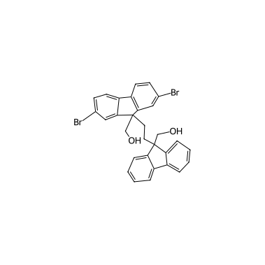 OCC1(CCC2(CO)c3cc(Br)ccc3-c3ccc(Br)cc32)c2ccccc2-c2ccccc21